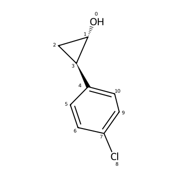 O[C@H]1C[C@@H]1c1ccc(Cl)cc1